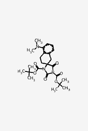 CN(C)c1cccc2c1CCC1(C2)C(=O)N(C(=O)OC(C)(C)C)C(=O)N1C(=O)OC(C)(C)C